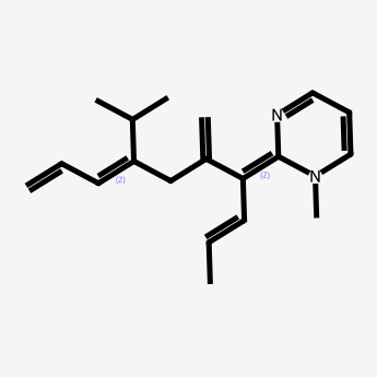 C=C/C=C(/CC(=C)/C(C=CC)=C1\N=CC=CN1C)C(C)C